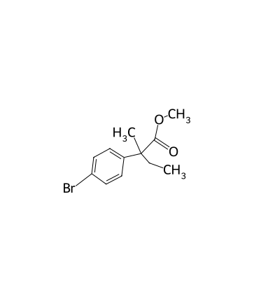 CCC(C)(C(=O)OC)c1ccc(Br)cc1